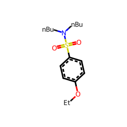 CCCCN(CCCC)S(=O)(=O)c1ccc(OCC)cc1